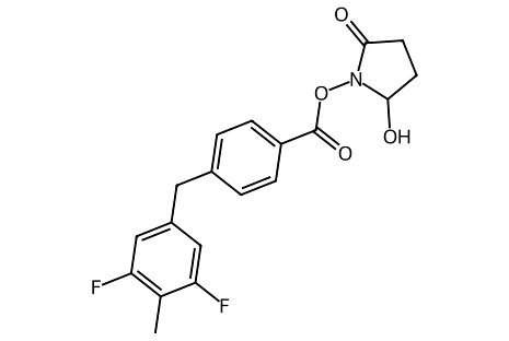 Cc1c(F)cc(Cc2ccc(C(=O)ON3C(=O)CCC3O)cc2)cc1F